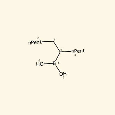 CCCCCCC(CCCCC)B(O)O